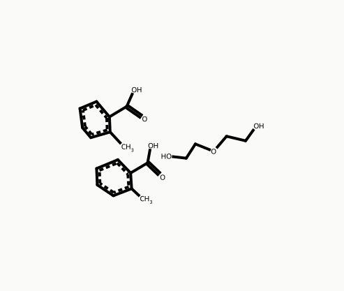 Cc1ccccc1C(=O)O.Cc1ccccc1C(=O)O.OCCOCCO